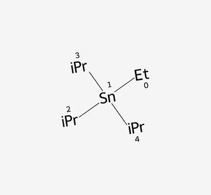 C[CH2][Sn]([CH](C)C)([CH](C)C)[CH](C)C